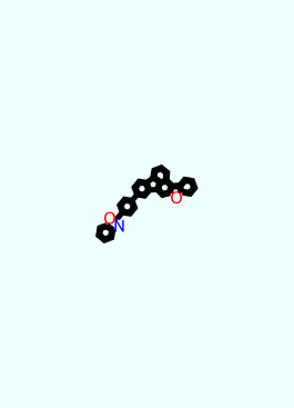 c1ccc2oc(-c3ccc(-c4ccc5c(c4)-c4cc6oc7ccccc7c6c6cccc-5c46)cc3)nc2c1